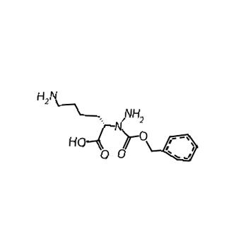 NCCCC[C@@H](C(=O)O)N(N)C(=O)OCc1ccccc1